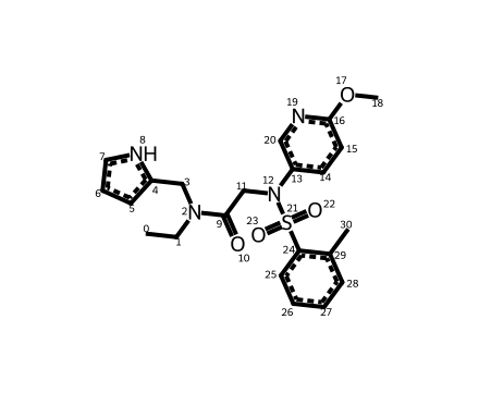 CCN(Cc1ccc[nH]1)C(=O)CN(c1ccc(OC)nc1)S(=O)(=O)c1ccccc1C